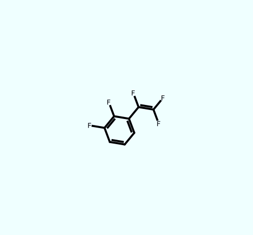 FC(F)=C(F)c1cccc(F)c1F